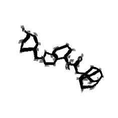 O=C(CC12CC3CC(CC(C3)C1)C2)Nc1cccc2c1C=CN(Cc1ccc(F)cc1)C2